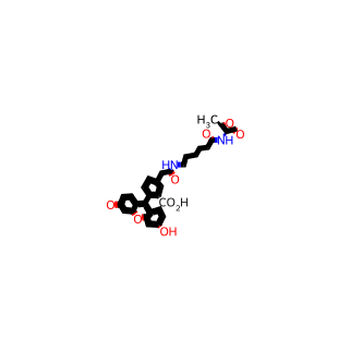 C[C@H]1OC(=O)[C@H]1NC(=O)CCCCCNC(=O)Cc1ccc(-c2c3ccc(=O)cc-3oc3cc(O)ccc23)c(C(=O)O)c1